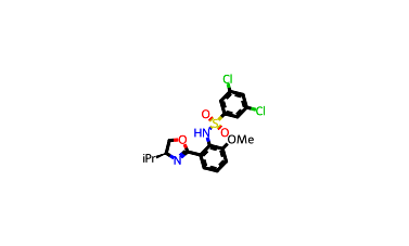 COc1cccc(C2=N[C@@H](C(C)C)CO2)c1NS(=O)(=O)c1cc(Cl)cc(Cl)c1